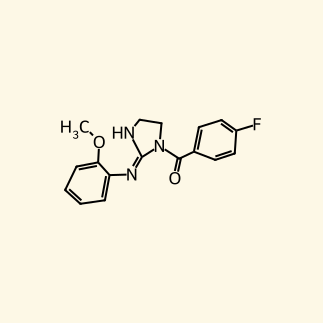 COc1ccccc1N=C1NCCN1C(=O)c1ccc(F)cc1